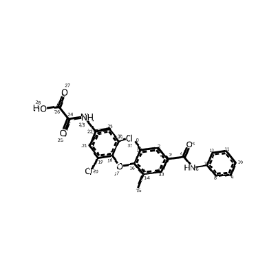 Cc1cc(C(=O)Nc2ccccc2)cc(C)c1Oc1c(Cl)cc(NC(=O)C(=O)O)cc1Cl